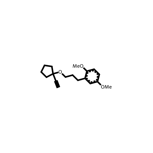 C#CC1(OCCCc2cc(OC)ccc2OC)CCCC1